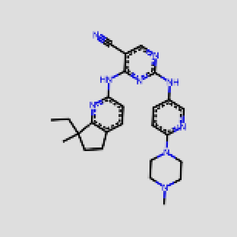 CCC1(C)CCc2ccc(Nc3nc(Nc4ccc(N5CCN(C)CC5)nc4)ncc3C#N)nc21